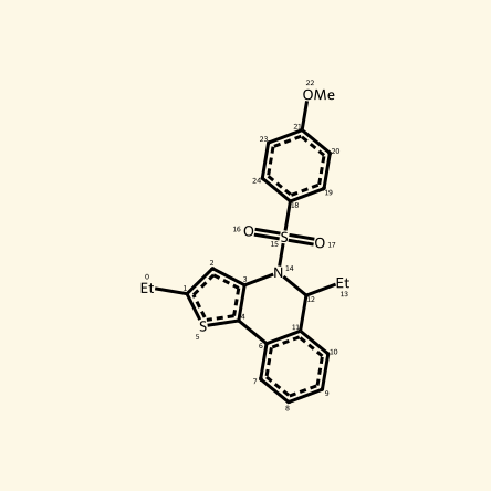 CCc1cc2c(s1)-c1ccccc1C(CC)N2S(=O)(=O)c1ccc(OC)cc1